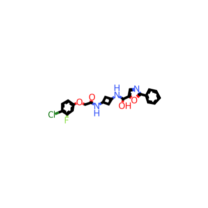 O=C(COc1ccc(Cl)c(F)c1)NC12CC(NC(O)c3cnc(-c4ccccc4)o3)(C1)C2